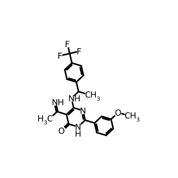 COc1cccc(-c2nc(NC(C)c3ccc(C(F)(F)F)cc3)c(C(C)=N)c(=O)[nH]2)c1